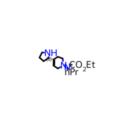 CCCN(C(=O)OCC)N1CC=C([C@@H]2CCCN2)CC1